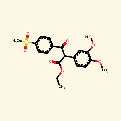 CCOC(=O)C(C(=O)c1ccc(S(C)(=O)=O)cc1)c1ccc(OC)c(OC)c1